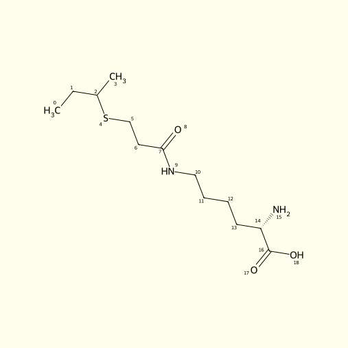 CCC(C)SCCC(=O)NCCCC[C@H](N)C(=O)O